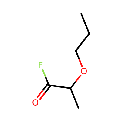 CCCOC(C)C(=O)F